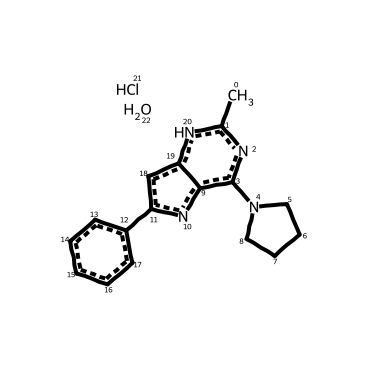 Cc1nc(N2CCCC2)c2nc(-c3ccccc3)cc-2[nH]1.Cl.O